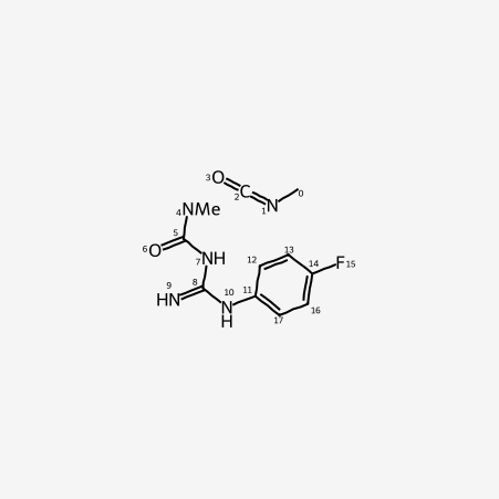 CN=C=O.CNC(=O)NC(=N)Nc1ccc(F)cc1